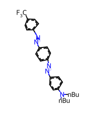 CCCCN(CCCC)c1ccc(/N=N/c2ccc(/N=N/c3ccc(C(F)(F)F)cc3)cc2)cc1